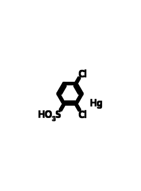 O=S(=O)(O)c1ccc(Cl)cc1Cl.[Hg]